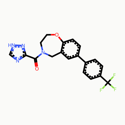 O=C(c1nc[nH]n1)N1CCOc2ccc(-c3ccc(C(F)(F)F)cc3)cc2C1